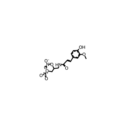 COc1cc(/C=C/C(=O)NCC(CO[N+](=O)[O-])O[N+](=O)[O-])ccc1O